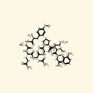 CCOc1ccc(C[C@H](N)C(=O)N[C@H](C(=O)N[C@@H](CCC(N)=O)C(=O)N[C@@H](CC(N)=O)C(=O)N[C@@H](CCSCCC(=O)O)C(=O)N2CCC[C@H]2C(=O)N[C@@H](CC(C)C)C(=O)N(CC(N)=O)Sc2ccccc2[N+](=O)[O-])[C@@H](C)CC)cc1